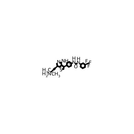 CC(C)(N)C#Cc1cnc(N)c2c(-c3ccc(NC(=O)Nc4cccc(C(F)(F)F)c4)cc3)csc12